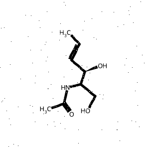 C/C=C/[C@@H](O)C(CO)NC(C)=O